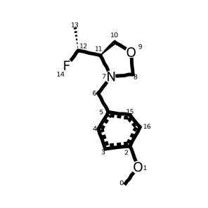 COc1ccc(CN2COC[C@@H]2[C@@H](C)F)cc1